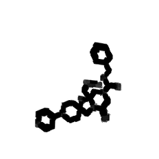 COCC12CN(C(=O)OCc3ccccc3)CC(=O)N1CC1(CCN(c3ccncc3)CC1)O2